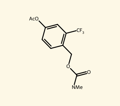 CNC(=O)OCc1ccc(OC(C)=O)cc1C(F)(F)F